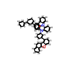 c1ccc(-c2cccc(-c3ccc(N(c4cccc(-c5cccc6oc7c8ccccc8ccc7c56)c4)c4ccccc4-n4c5ccccc5c5ccccc54)cc3)c2)cc1